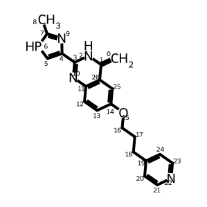 C=C1NC(c2c[pH]c(C)n2)=Nc2ccc(OCCCc3ccncc3)cc21